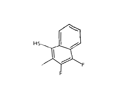 Cc1c(F)c(F)c2ccccc2c1S